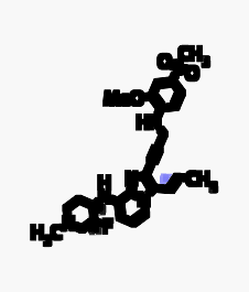 C/C=C/c1c(C#CCNc2ccc(S(C)(=O)=O)cc2OC)nc2c(N[C@@H]3CCN(C)C[C@@H]3F)cccn12